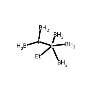 BI(B)I(B)(B)(B)CC